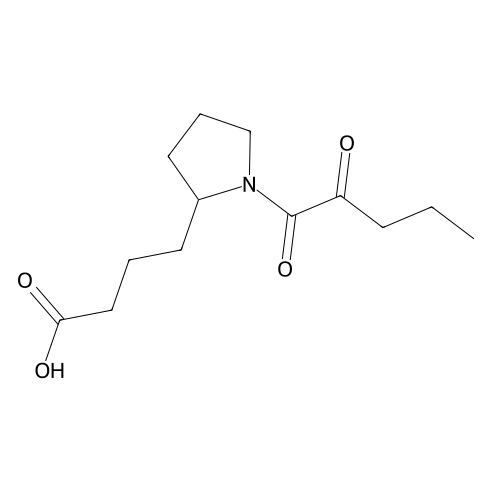 CCCC(=O)C(=O)N1CCCC1CCCC(=O)O